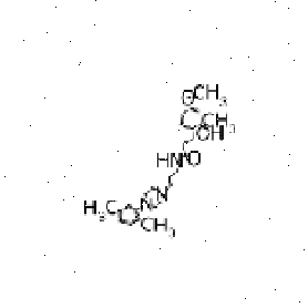 COC1=CC(C)(O)C(CCC(=O)NCCCN2CCN(c3cc(C)ccc3C)CC2)C=C1